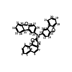 c1ccc2c(c1)ccc1nc(N(c3ccc4oc5ccccc5c4c3)c3ccc4oc5ccccc5c4c3)oc12